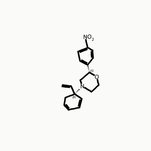 C=C[C@@]1(N2CCO[C@@H](c3ccc([N+](=O)[O-])cc3)C2)C=CC=CC1